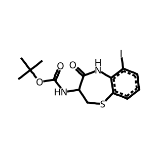 CC(C)(C)OC(=O)NC1CSc2cccc(I)c2NC1=O